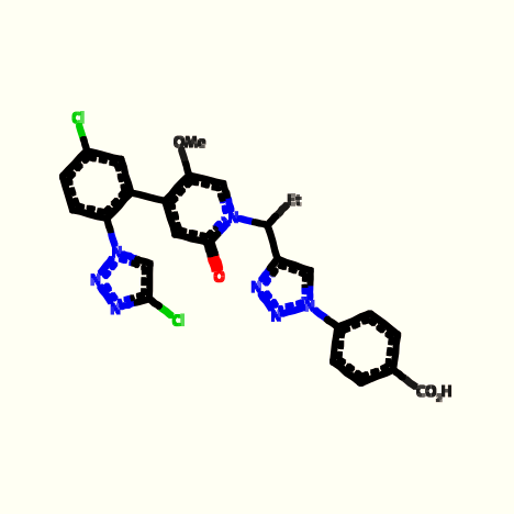 CCC(c1cn(-c2ccc(C(=O)O)cc2)nn1)n1cc(OC)c(-c2cc(Cl)ccc2-n2cc(Cl)nn2)cc1=O